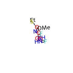 CCSCC/C=C/CCOc1cc2nccc(Oc3ccc(NC(=O)C4(C(=O)Nc5ccc(F)cc5)CC4)cc3F)c2cc1OC